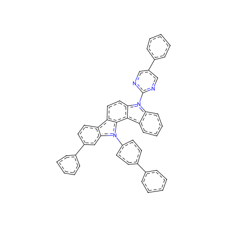 c1ccc(-c2ccc(-n3c4cc(-c5ccccc5)ccc4c4ccc5c(c6ccccc6n5-c5ncc(-c6ccccc6)cn5)c43)cc2)cc1